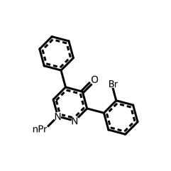 CCCn1cc(-c2ccccc2)c(=O)c(-c2ccccc2Br)n1